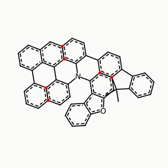 CC1(C)c2ccccc2-c2ccc(-c3ccccc3N(c3ccccc3-c3cccc4cccc(-c5ccccc5)c34)c3cccc4oc5ccccc5c34)cc21